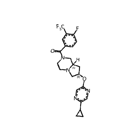 O=C(c1ccc(F)c(C(F)(F)F)c1)N1CCN2C[C@H](Oc3cnc(C4CC4)cn3)C[C@H]2C1